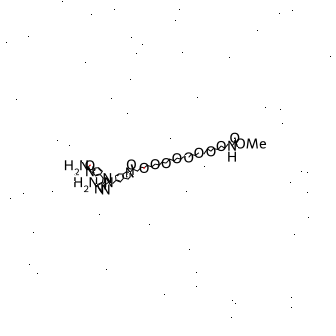 COC(=O)NCCOCCOCCOCCOCCOCCOCCOCCOCCC(=O)N1CCc2cc(Cn3nc(-c4ccc5oc(N)nc5c4)c4c(N)ncnc43)ccc2C1